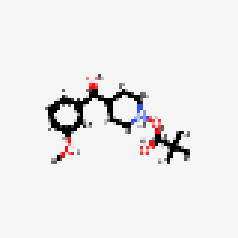 COc1cccc(C(=O)C2CCN(OC(=O)C(C)(C)C)CC2)c1